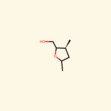 CC1C[C@H](C)C(CO)O1